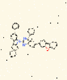 c1ccc(-c2ccc3c4cc5ccccc5cc4n(-c4nc(-c5ccccc5)c5cc(-c6ccc7c(c6)oc6ccccc67)ccc5n4)c3c2)cc1